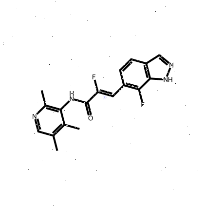 Cc1cnc(C)c(NC(=O)/C(F)=C/c2ccc3cn[nH]c3c2F)c1C